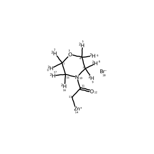 [2H]C1([2H])OC([2H])([2H])C([2H])([2H])N(C(=O)[CH2][Zn+])C1([2H])[2H].[Br-]